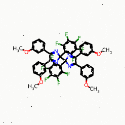 COc1cccc(C2=NC(c3c(F)c(F)c(F)c(F)c3F)(C3(c4c(F)c(F)c(F)c(F)c4F)N=C(c4cccc(OC)c4)C(c4cccc(OC)c4)=N3)N=C2c2cccc(OC)c2)c1